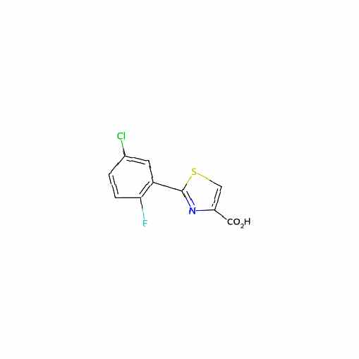 O=C(O)c1csc(-c2cc(Cl)ccc2F)n1